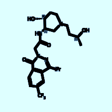 CC(C)c1nn(CC(=O)N[C@H]2CN(CC[C@H](C)O)CC[C@H]2O)c(=O)c2ccc(C(F)(F)F)cc12